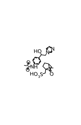 CC1(C)C2CCC1(CS(=O)(=O)O)C(=O)C2.CS(=O)(=O)Nc1ccc(C(O)Cn2ccnc2)cc1